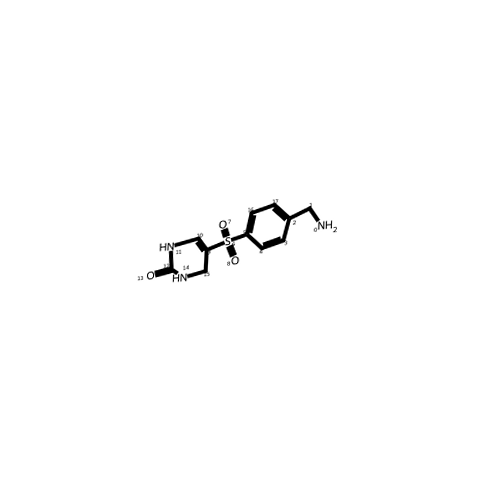 NCc1ccc(S(=O)(=O)C2=CNC(=O)NC2)cc1